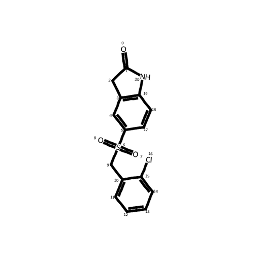 O=C1Cc2cc(S(=O)(=O)Cc3ccccc3Cl)ccc2N1